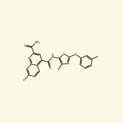 Cc1cccc(Oc2nc(C)c(NC(=O)c3cc(C(N)=O)nc4cc(F)ccc34)s2)c1